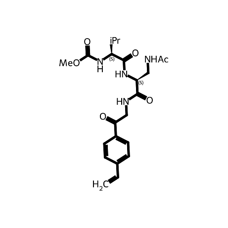 C=Cc1ccc(C(=O)CNC(=O)[C@H](CNC(C)=O)NC(=O)[C@@H](NC(=O)OC)C(C)C)cc1